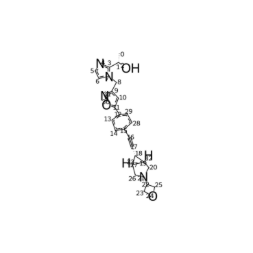 C[C@H](O)c1nccn1Cc1cc(-c2ccc(C#C[C@@H]3[C@H]4CN(C5COC5)C[C@@H]34)cc2)on1